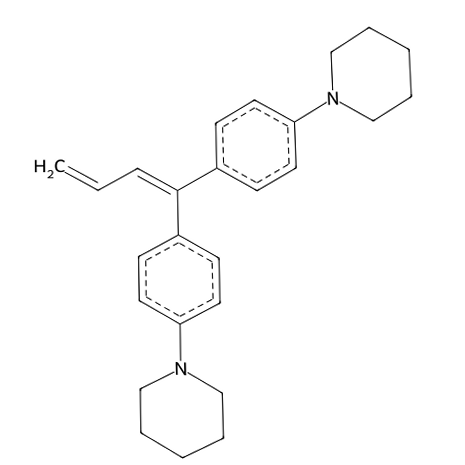 C=CC=C(c1ccc(N2CCCCC2)cc1)c1ccc(N2CCCCC2)cc1